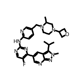 CC(C)c1c2cc(-c3nc(Nc4ccc(CN5CCN(C6COC6)CC5C)cn4)ncc3F)cnc2nn1C